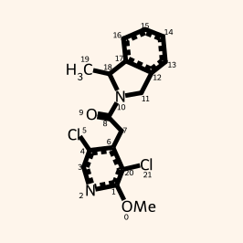 COc1ncc(Cl)c(CC(=O)N2Cc3ccccc3C2C)c1Cl